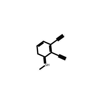 [C]#CC1=C(C#[C])C(=[SiH]C)CC=C1